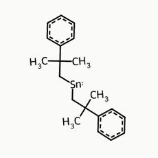 CC(C)([CH2][Sn][CH2]C(C)(C)c1ccccc1)c1ccccc1